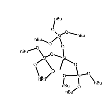 CCCCO[Si](OCCCC)(OCCCC)O[Si](C)(O[Si](OCCCC)(OCCCC)OCCCC)O[Si](OCCCC)(OCCCC)OCCCC